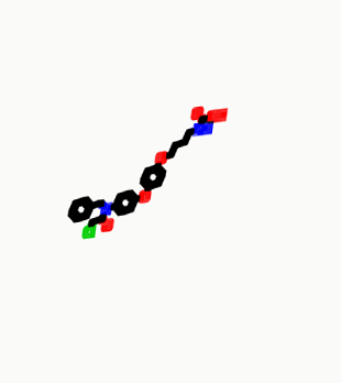 O=C(O)NCCCCOc1ccc(Oc2ccc(N(Cc3ccccc3)C(=O)CCl)cc2)cc1